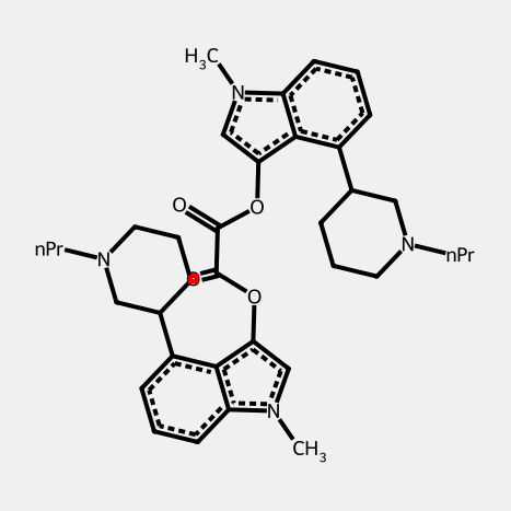 CCCN1CCCC(c2cccc3c2c(OC(=O)C(=O)Oc2cn(C)c4cccc(C5CCCN(CCC)C5)c24)cn3C)C1